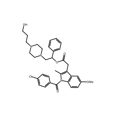 COc1ccc2c(c1)c(CC(=O)OC(CN1CCN(CCCO)CC1)c1ccccc1)c(C)n2C(=O)c1ccc(Cl)cc1